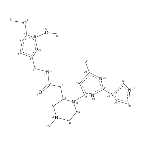 COc1ccc(CNC(=O)CC2CN(C)CCN2c2cc(C)nc(-n3ccnc3)n2)cc1OC